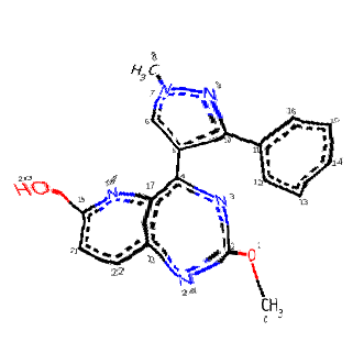 COc1nc(-c2cn(C)nc2-c2ccccc2)c2nc(O)ccc2n1